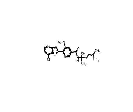 COc1cc(C(=O)NC(C)(C)CCN(C)C)cnc1-c1cc2nccc(Cl)c2o1